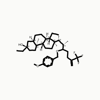 C=C(CCC(OCc1ccc(OC)cc1)[C@@H](C)[C@H]1CC[C@H]2[C@@H]3CC[C@@H]4C[C@@](O)(CC)CC[C@]4(C)[C@H]3CC[C@]12C)C(F)(F)F